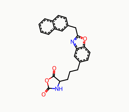 O=C1NC(CCCc2ccc3oc(Cc4ccc5ccccc5c4)nc3c2)C(=O)O1